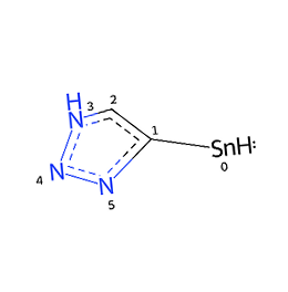 [SnH][c]1c[nH]nn1